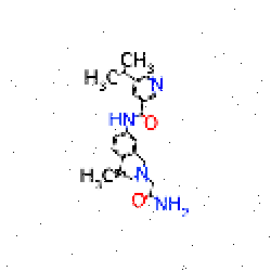 CC(C)c1cncc(C(=O)Nc2ccc3c(c2)CN(CC(N)=O)C[C@@H]3C)c1